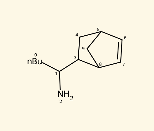 CCCCC(N)C1CC2C=CC1C2